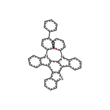 c1ccc(-c2ccc(-n3c4ccccc4c4c5c6ccccc6sc5c5c6ccccc6n(-c6ccccc6)c5c43)cc2)cc1